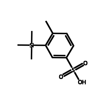 Cc1ccc(S(=O)(=O)O)cc1[Si](C)(C)C